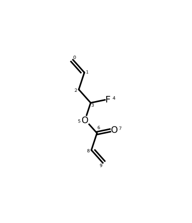 C=CCC(F)OC(=O)C=C